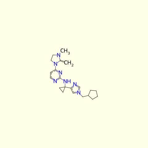 C=C1N(C)CCN1c1ccnc(NC2(c3cn(CC4CCCC4)cn3)CC2)n1